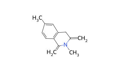 C=C1Cc2cc(C)ccc2C(=C)N1C